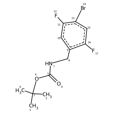 CC(C)(C)OC(=O)NCc1cc(F)c(Br)cc1F